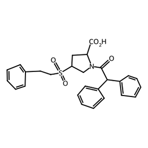 O=C(O)C1CC(S(=O)(=O)CCc2ccccc2)CN1C(=O)C(c1ccccc1)c1ccccc1